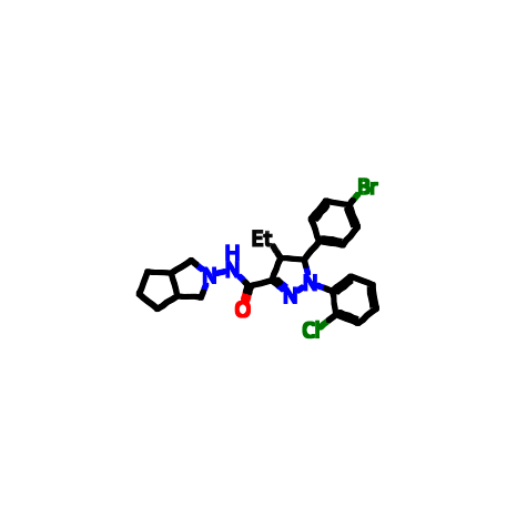 CCC1C(C(=O)NN2CC3CCCC3C2)=NN(c2ccccc2Cl)C1c1ccc(Br)cc1